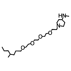 CCCC(C)CCCOCCOCCOCCOCCN1CCC(NC)CC1